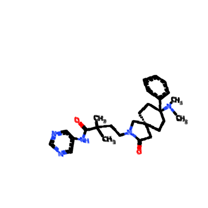 CN(C)[C@]1(c2ccccc2)CC[C@]2(CC1)CC(=O)N(CCC(C)(C)C(=O)Nc1cncnc1)C2